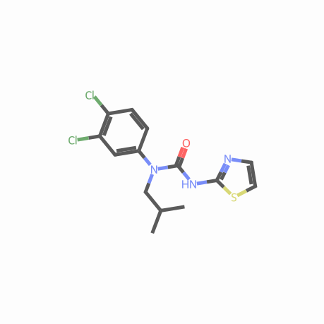 CC(C)CN(C(=O)Nc1nccs1)c1ccc(Cl)c(Cl)c1